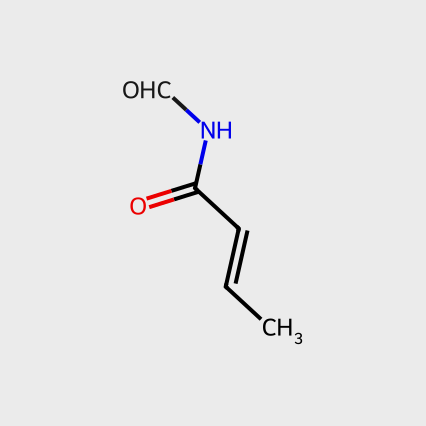 CC=CC(=O)NC=O